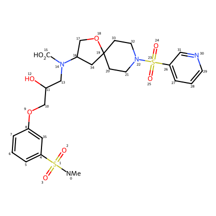 CNS(=O)(=O)c1cccc(OCC(O)CN(C(=O)O)C2COC3(CCN(S(=O)(=O)c4cccnc4)CC3)C2)c1